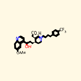 COc1ccc2nccc(C(O)CC[C@@H]3CCN(CCCCc4ccc(C(F)(F)F)cc4)C[C@@H]3CC(=O)O)c2c1